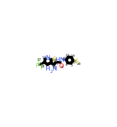 CSc1ccc(NC(=O)c2sc3ncc(C(F)(F)F)cc3c2N)cc1